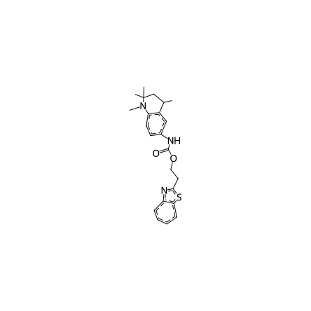 CC1CC(C)(C)N(C)c2ccc(NC(=O)OCCc3nc4ccccc4s3)cc21